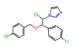 Clc1ccc(COC(c2ccc(Cl)cc2)C(Cl)n2ccnc2)cc1